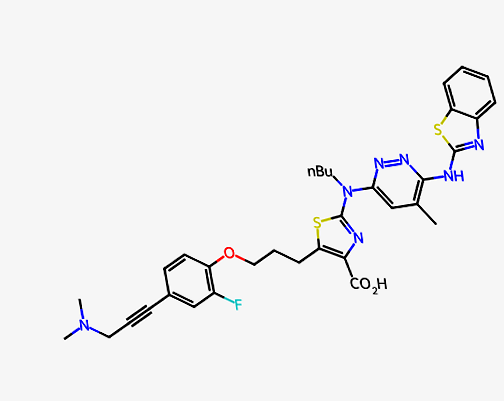 CCCCN(c1cc(C)c(Nc2nc3ccccc3s2)nn1)c1nc(C(=O)O)c(CCCOc2ccc(C#CCN(C)C)cc2F)s1